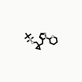 CC(C)(C)[Si](C)(C)OCC1(Cc2ccnn2C2CCCCO2)CC1